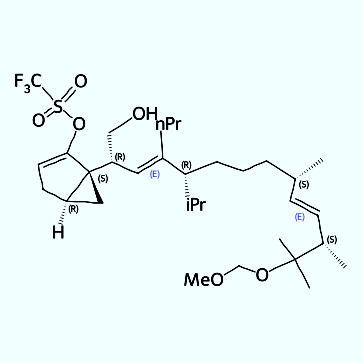 CCC/C(=C\[C@@H](CO)[C@]12C[C@H]1CC=C2OS(=O)(=O)C(F)(F)F)[C@H](CCC[C@H](C)/C=C/[C@H](C)C(C)(C)OCOC)C(C)C